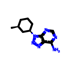 C[C@H]1CCC[C@H](n2nnc3c(N)ncnc32)C1